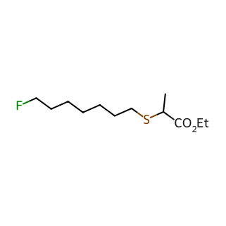 CCOC(=O)C(C)SCCCCCCCF